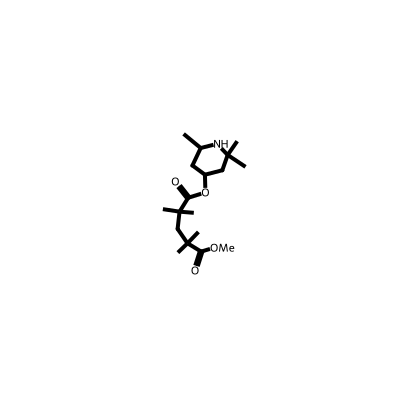 COC(=O)C(C)(C)CC(C)(C)C(=O)OC1CC(C)NC(C)(C)C1